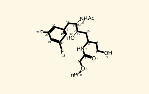 CCCOCC(=O)NC(CCO)C[C@H](O)[C@H](Cc1cc(F)cc(F)c1)NC(C)=O